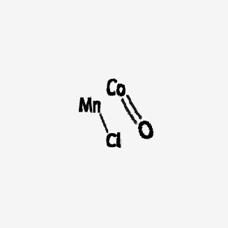 [Cl][Mn].[O]=[Co]